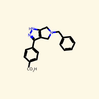 O=C(O)c1ccc(-c2n[nH]c3c2CN(Cc2ccccc2)C3)cc1